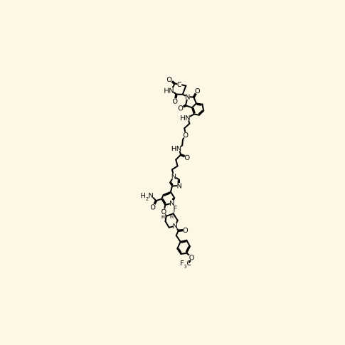 NC(=O)c1cc(-c2cn(CCCC(=O)NCCOCCNc3cccc4c3C(=O)N(C3CCC(=O)NC3=O)C4=O)cn2)cnc1O[C@@H]1CCN(C(=O)Cc2ccc(OC(F)(F)F)cc2)C[C@H]1F